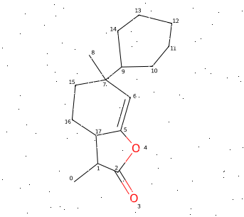 CC1C(=O)OC2=CC(C)(C3CCCCC3)CCC21